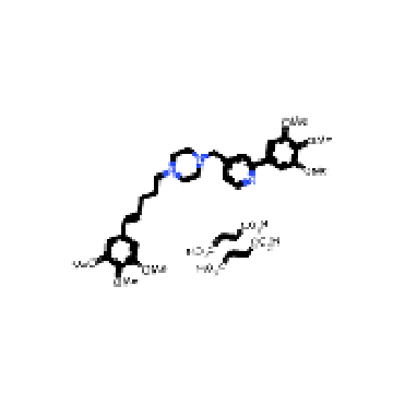 COc1cc(/C=C/CCCN2CCN(Cc3ccnc(-c4cc(OC)c(OC)c(OC)c4)c3)CC2)cc(OC)c1OC.O=C(O)/C=C/C(=O)O.O=C(O)/C=C/C(=O)O